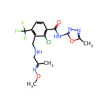 CO/N=C(\C)CNCc1c(C(F)(F)F)ccc(C(=O)Nc2nnc(C)o2)c1Cl